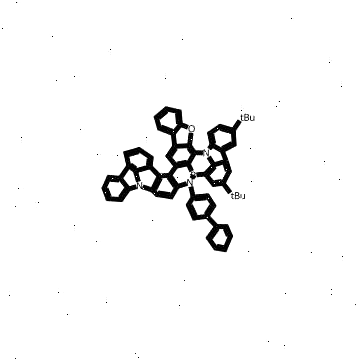 CC(C)(C)c1ccc2c(c1)c1cc(C(C)(C)C)cc3c1n2-c1c2c(cc4c1oc1ccccc14)-c1c(ccc4c1c1cccc5c6ccccc6n4c51)N(c1ccc(-c4ccccc4)cc1)B23